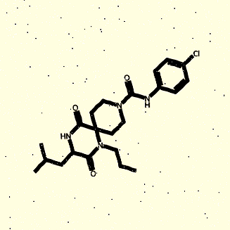 CCCN1C(=O)C(CC(C)C)NC(=O)C12CCN(C(=O)Nc1ccc(Cl)cc1)CC2